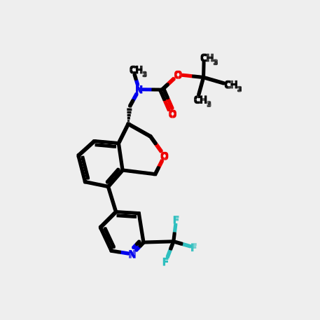 CN(C[C@@H]1COCc2c(-c3ccnc(C(F)(F)F)c3)cccc21)C(=O)OC(C)(C)C